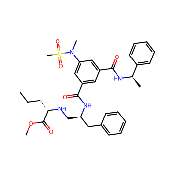 CCC[C@H](NC[C@H](Cc1ccccc1)NC(=O)c1cc(C(=O)N[C@H](C)c2ccccc2)cc(N(C)S(C)(=O)=O)c1)C(=O)OC